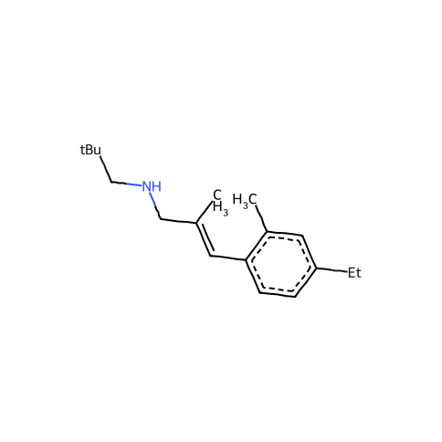 CCc1ccc(/C=C(\C)CNCC(C)(C)C)c(C)c1